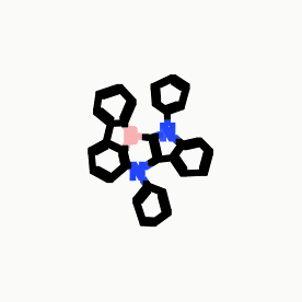 c1ccc(N2c3cccc4c3B(c3ccccc3-4)c3c2c2ccccc2n3-c2ccccc2)cc1